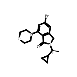 C[C@@H](C1CC1)N1Cc2cc(Br)cc(N3CCOCC3)c2C1=O